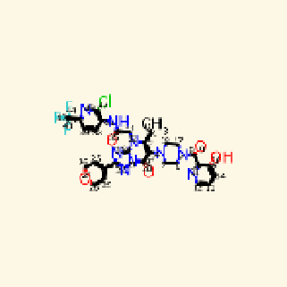 CCc1c(N2CCN(C(=O)c3ncccc3O)CC2)c(=O)n2nc(C3=CCOCC3)nc2n1CC(=O)Nc1ccc(C(F)(F)F)nc1Cl